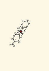 COC(=O)N1C2COCC1CC(N1CCC3(CC1)CC3)C2